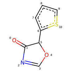 O=C1N=COC1c1cccs1